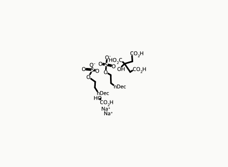 CCCCCCCCCCCCOS(=O)(=O)[O-].CCCCCCCCCCCCOS(=O)(=O)[O-].O=C(O)CC(O)(CC(=O)O)C(=O)O.O=C(O)O.[Na+].[Na+]